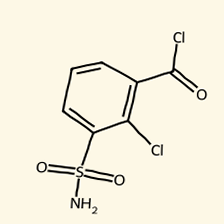 NS(=O)(=O)c1cccc(C(=O)Cl)c1Cl